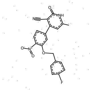 Cc1cc(-c2ccc([N+](=O)[O-])c(OCc3ccc(F)cc3)c2)c(C#N)c(=O)[nH]1